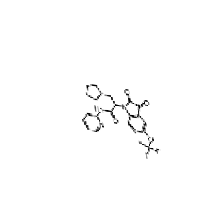 O=C1C(=O)N(C(CC2CCCC2)C(=O)Nc2ccccn2)c2ccc(OC(F)(F)F)cc21